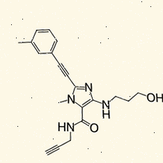 C#CCNC(=O)c1c(NCCCO)nc(C#Cc2cccc(C)c2)n1C